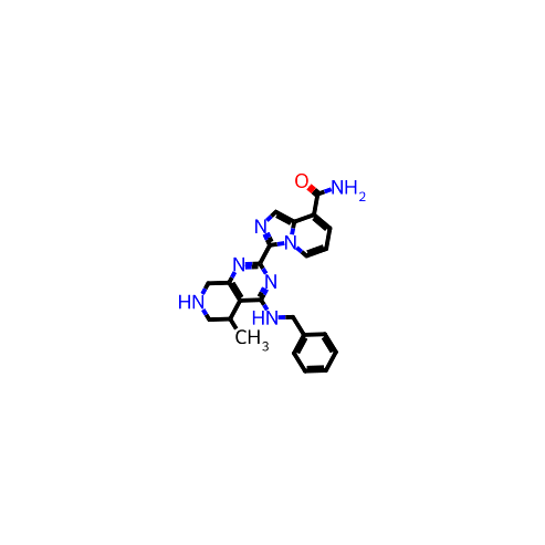 CC1CNCc2nc(-c3ncc4c(C(N)=O)cccn34)nc(NCc3ccccc3)c21